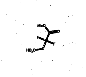 COC(=O)C(F)(F)CC(=O)O